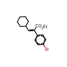 CCOC(=O)/C(=C\C1CCCCC1)c1ccc(Br)cc1